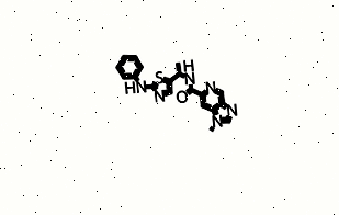 CC(NC(=O)c1cc2c(cn1)ncn2C)c1cnc(Nc2ccccc2)s1